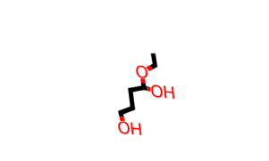 CCOC(O)CCCO